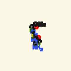 COC(=O)c1cccc(F)c1Cn1cc(-c2nc(C(=O)Nc3cccc(F)c3N3CCCC(N)C3)cs2)cn1